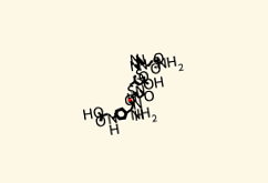 NC(C(=O)NC1C(=O)N2C(C(=O)O)=C(CSc3nnnn3CCS(N)(=O)=O)CS[C@H]12)c1ccc(NCC(=O)O)cc1